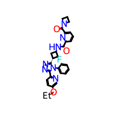 CCOc1ccc(-c2nnc([C@H]3C[C@H](NC(=O)c4cccc(C(=O)N5CCC5)n4)C3)n2-c2ccccc2F)nc1